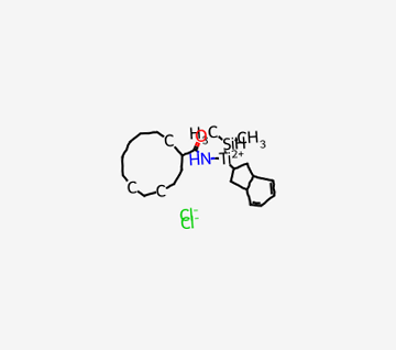 C[SiH](C)[Ti+2]([NH]C(=O)C1CCCCCCCCCCC1)[CH]1CC2C=CC=CC2C1.[Cl-].[Cl-]